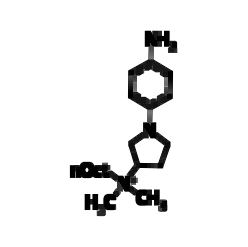 CCCCCCCC[N+](C)(C)C1CCN(c2ccc(N)cc2)C1